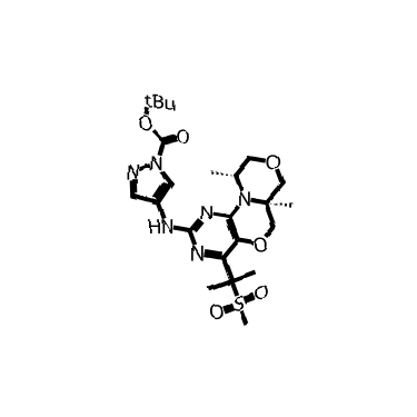 C[C@@H]1COC[C@@]2(C)COc3c(nc(Nc4cnn(C(=O)OC(C)(C)C)c4)nc3C(C)(C)S(C)(=O)=O)N12